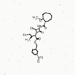 C=C(CCl)C(C(=O)OCc1cccc([N+](=O)[O-])c1)N1C(=O)C(NC(=O)C2CCCCCCC2OC)C1Cl